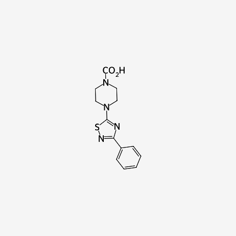 O=C(O)N1CCN(c2nc(-c3ccccc3)ns2)CC1